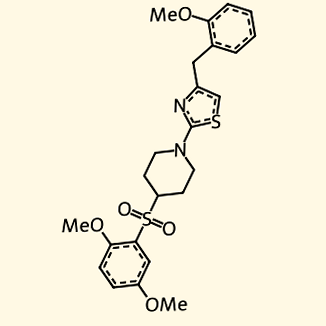 COc1ccc(OC)c(S(=O)(=O)C2CCN(c3nc(Cc4ccccc4OC)cs3)CC2)c1